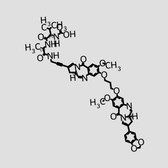 COc1cc2c(cc1OCCCOc1cc3c(cc1OC)C(=O)N1C=C(c4ccc5c(c4)OCO5)C[C@H]1C=N3)N=C[C@@H]1CC(C#CCNC(=O)[C@H](C)NC(=O)[C@H](NC(=O)O)C(C)C)=CN1C2=O